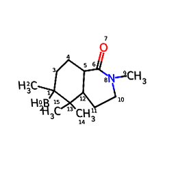 BC1(C)CCC2C(=O)N(C)CCC2C1(C)C